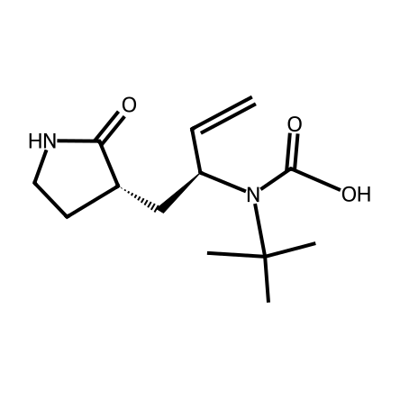 C=C[C@H](C[C@@H]1CCNC1=O)N(C(=O)O)C(C)(C)C